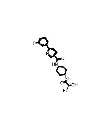 CC[C@H](O)C(=O)N[C@H]1CC[C@H](NC(=O)c2ccc(-c3cccc(F)c3)nc2)CC1